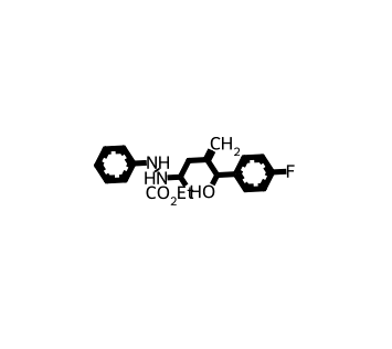 C=C(CC(NNc1ccccc1)C(=O)OCC)C(O)c1ccc(F)cc1